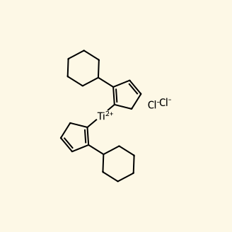 C1=CC(C2CCCCC2)=[C]([Ti+2][C]2=C(C3CCCCC3)C=CC2)C1.[Cl-].[Cl-]